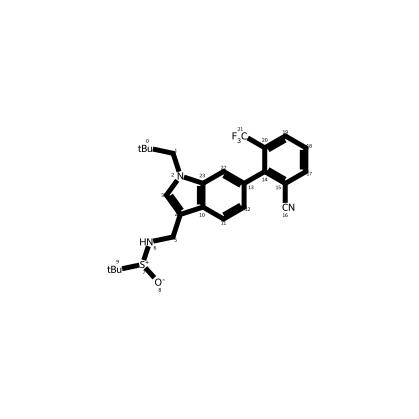 CC(C)(C)Cn1cc(CN[S+]([O-])C(C)(C)C)c2ccc(-c3c(C#N)cccc3C(F)(F)F)cc21